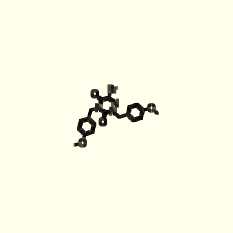 COc1ccc(Cn2nc(Br)c(=O)n(Cc3ccc(OC)cc3)c2=O)cc1